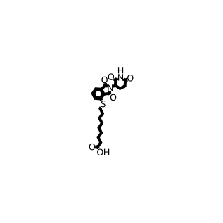 O=C(O)CCCCCCCCSc1cccc2c1C(=O)N(C1CCC(=O)NC1=O)C2=O